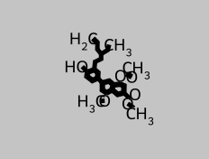 C=CCC(CC)CCc1cc(-c2cc(OC)c3cc(C(=O)OCC)cc(OC(C)=O)c3c2)ccc1O